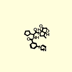 CC1CN(C(=O)C(NC(=O)c2cccc(-n3ccnc3)c2)C2CCCC2)[C@@H]2C(=O)CO[C@H]12